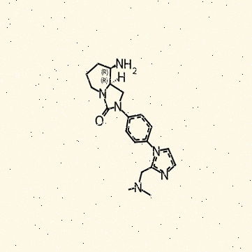 CN(C)Cc1nccn1-c1ccc(N2C[C@@H]3[C@H](N)CCCN3C2=O)cc1